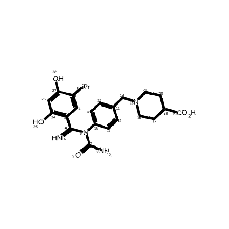 CC(C)c1cc(C(=N)N(C(N)=O)c2ccc(CN3CCC(C(=O)O)CC3)cc2)c(O)cc1O